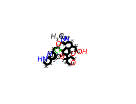 COCC1(c2cc(Cl)cc(C(CC(=O)O)Cc3cc(OCCc4ccc5c(n4)NCCC5)n(C)n3)c2)CCOCC1